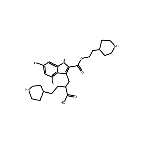 O=C(OCCC1CCNCC1)c1[nH]c2cc(Cl)cc(Cl)c2c1CC(CCC1CCNCC1)C(=O)O